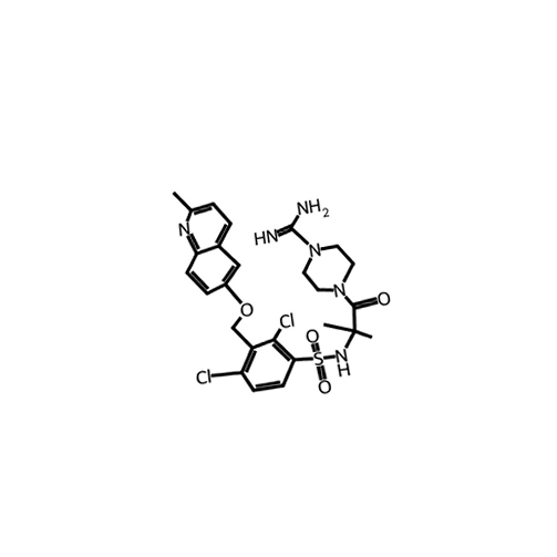 Cc1ccc2cc(OCc3c(Cl)ccc(S(=O)(=O)NC(C)(C)C(=O)N4CCN(C(=N)N)CC4)c3Cl)ccc2n1